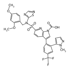 COc1ccc(CN(c2ncns2)S(=O)(=O)c2ccc3c(-c4ccc(C(F)(F)F)cc4-c4ccnn4C)cn(C(=O)O)c3n2)c(OC)c1